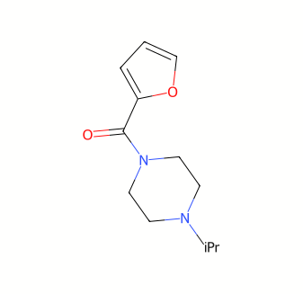 CC(C)N1CCN(C(=O)c2ccco2)CC1